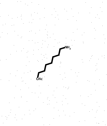 CC(=O)OCCCCCCCN